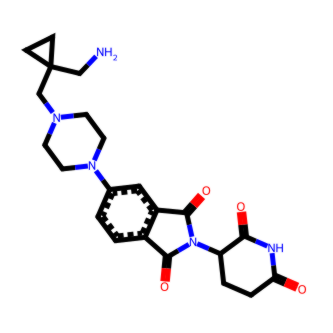 NCC1(CN2CCN(c3ccc4c(c3)C(=O)N(C3CCC(=O)NC3=O)C4=O)CC2)CC1